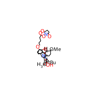 COC1CC[C@@]2(CC[C@](C)(O)C(C)(C)C)[C@H]3Cc4ccc(OCCCCC(=O)ON5C(=O)CCC5=O)c5c4[C@@]2(CCN3CC2CC2)[C@H]1O5